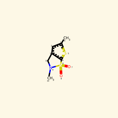 Cc1cc2c(s1)S(=O)(=O)N(C)C2